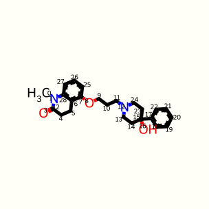 CN1C(=O)CCc2c(OCCCN3CCC(O)(c4ccccc4)CC3)cccc21